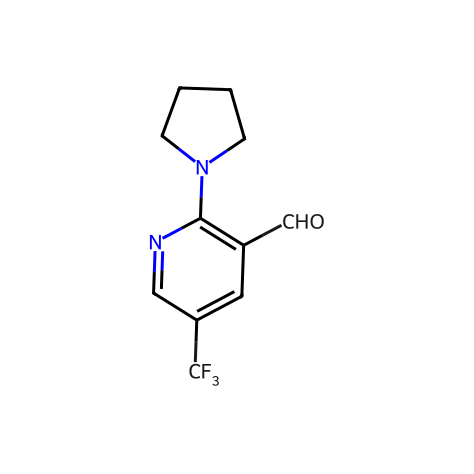 O=Cc1cc(C(F)(F)F)cnc1N1CCCC1